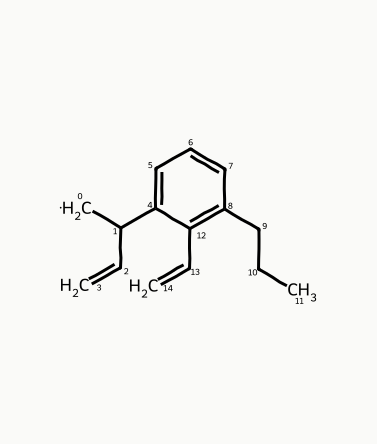 [CH2]C(C=C)c1cccc(CCC)c1C=C